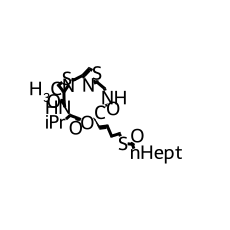 CCCCCCCC(=O)SCC/C=C/[C@@H]1CC(=O)NCc2nc(cs2)C2=N[C@@](C)(CS2)C(=O)NC(C(C)C)C(=O)O1